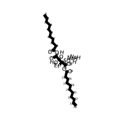 C=CCCCCCCCCC(=O)OC(=O)C(O)(O)C(CC)(C(=O)OC(=O)CCCCCCCCC=C)S(=O)(=O)O.[NaH].[NaH]